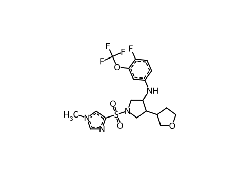 Cn1cnc(S(=O)(=O)N2CC(Nc3ccc(F)c(OC(F)(F)F)c3)C(C3CCOC3)C2)c1